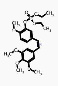 CCOP(=O)(OCC)Oc1cc(/C=C\c2cc(OC)c(OC)c(OC)c2)ccc1OC